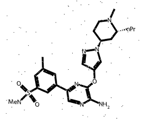 CCC[C@@H]1C[C@@H](n2cc(Oc3nc(-c4cc(C)cc(S(=O)(=O)NC)c4)cnc3N)cn2)CCN1C